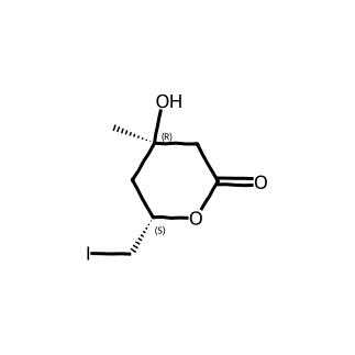 C[C@]1(O)CC(=O)O[C@H](CI)C1